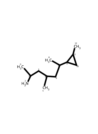 CC(N)CC(C)CC(C)C1CC1C